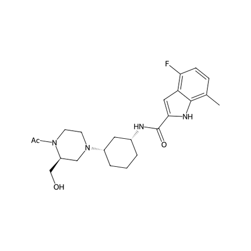 CC(=O)N1CCN([C@H]2CCC[C@@H](NC(=O)c3cc4c(F)ccc(C)c4[nH]3)C2)C[C@H]1CO